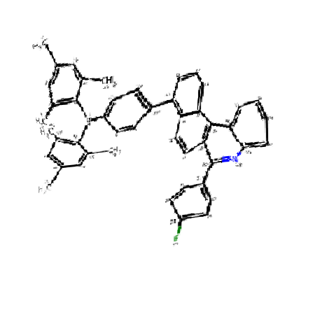 Cc1cc(C)c(B(c2ccc(-c3cccc4c3ccc3c(-c5ccc(F)cc5)nc5ccccc5c34)cc2)c2c(C)cc(C)cc2C)c(C)c1